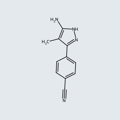 Cc1c(-c2ccc(C#N)cc2)n[nH]c1N